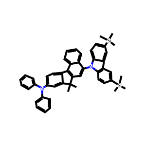 CC1(C)c2cc(N(c3ccccc3)c3ccccc3)ccc2-c2c1cc(-n1c3ccc([Si](C)(C)C)cc3c3cc([Si](C)(C)C)ccc31)c1ccccc21